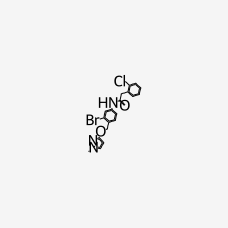 Cn1ccc(OCc2ccc(NC(=O)Cc3ccccc3Cl)cc2Br)n1